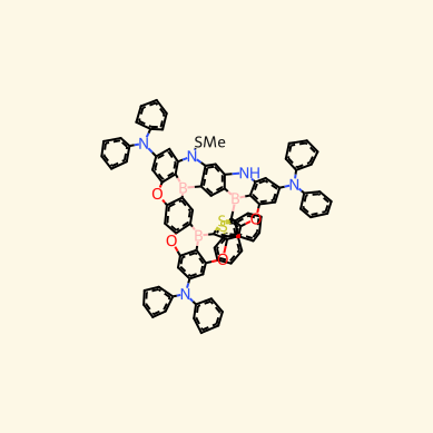 CSN1c2cc3c(cc2B2c4cc5c(cc4Oc4cc(N(c6ccccc6)c6ccccc6)cc1c42)Oc1cc(N(c2ccccc2)c2ccccc2)cc2c1B5c1sc4ccccc4c1O2)B1c2sc4ccccc4c2Oc2cc(N(c4ccccc4)c4ccccc4)cc(c21)N3